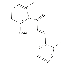 COc1cccc(C)c1C(=O)/C=C/c1ccccc1C